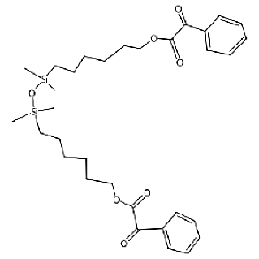 C[Si](C)(CCCCCCOC(=O)C(=O)c1ccccc1)O[Si](C)(C)CCCCCCOC(=O)C(=O)c1ccccc1